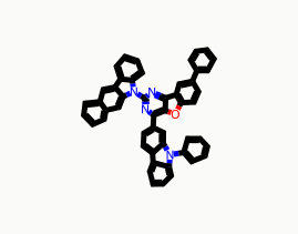 c1ccc(-c2ccc3oc4c(-c5ccc6c7ccccc7n(-c7ccccc7)c6c5)nc(-n5c6ccccc6c6cc7ccccc7cc65)nc4c3c2)cc1